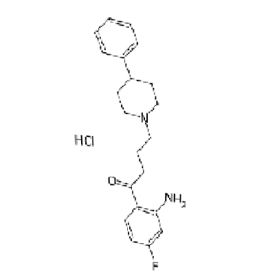 Cl.Nc1cc(F)ccc1C(=O)CCCN1CCC(c2ccccc2)CC1